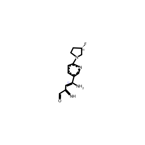 N=C(C=O)/C=C(\N)c1ccc(N2CC[C@H](F)C2)nc1